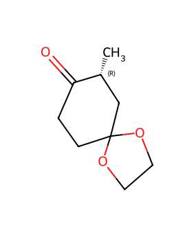 C[C@@H]1CC2(CCC1=O)OCCO2